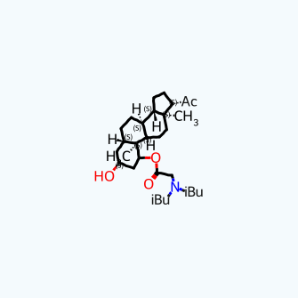 CCC(C)N(CC(=O)OC1C[C@@H](O)C[C@@H]2CC[C@H]3[C@@H]4CC[C@H](C(C)=O)[C@@]4(C)CC[C@@H]3[C@@]12C)C(C)CC